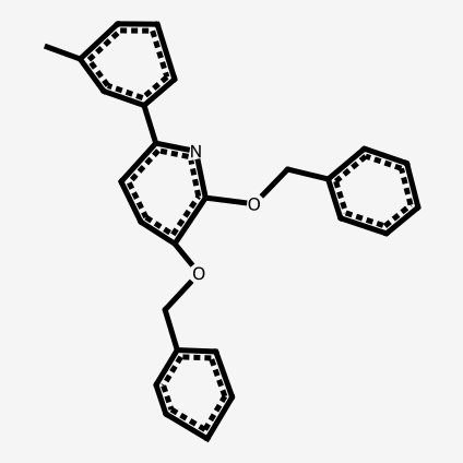 Cc1cccc(-c2ccc(OCc3ccccc3)c(OCc3ccccc3)n2)c1